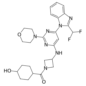 O=C(C1CCC(O)CC1)N1CC(Nc2cc(-n3c(C(F)F)nc4ccccc43)nc(N3CCOCC3)n2)C1